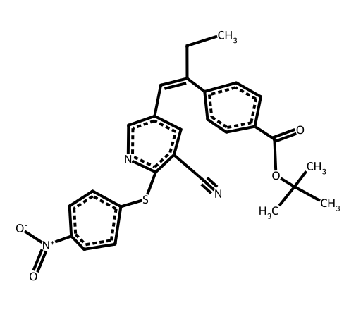 CCC(=Cc1cnc(Sc2ccc([N+](=O)[O-])cc2)c(C#N)c1)c1ccc(C(=O)OC(C)(C)C)cc1